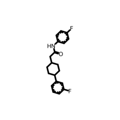 O=C(CC1CCC(c2cccc(F)c2)CC1)Nc1ccc(F)cc1